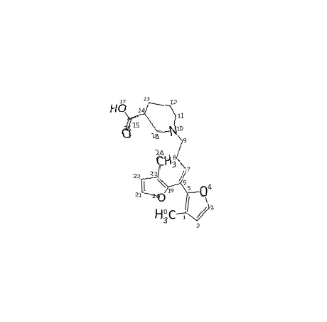 Cc1ccoc1C(=CCCN1CCCC(C(=O)O)C1)c1occc1C